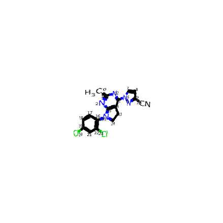 Cc1nc2c(c(-n3ccc(C#N)n3)n1)CCN2c1ccc(Cl)cc1Cl